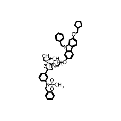 CC[Si](CC)(CC)O[C@@H](CNCCOc1ccc2c3ccc(OCC4CCCC4)cc3n(Cc3ccccc3)c2c1)c1cccc(N(Cc2ccccc2)S(C)(=O)=O)c1